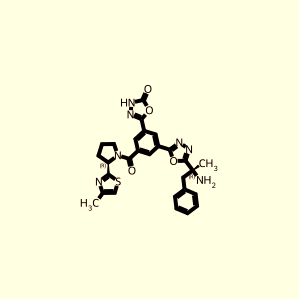 Cc1csc([C@H]2CCCN2C(=O)c2cc(-c3nnc([C@](C)(N)Cc4ccccc4)o3)cc(-c3n[nH]c(=O)o3)c2)n1